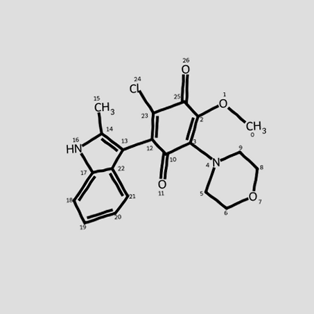 COC1=C(N2CCOCC2)C(=O)C(c2c(C)[nH]c3ccccc23)=C(Cl)C1=O